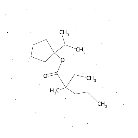 CCCC(C)(CC)C(=O)OC1(C(C)C)CCCC1